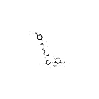 CC(C)N(CCCNC(=O)Nc1ccc(C(C)(C)C)cc1)C[C@H]1O[C@@H](N2CNC3C(N(C)C)NCNC32)[C@H](O)[C@H]1O